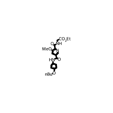 CCCCOc1ccc(NC(=O)c2cnc(C(=O)NCC(=O)OCC)c(OC)c2)cc1